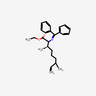 C=CC(C)CCC[C@@H](C)C(N=C(c1ccccc1)c1ccccc1)C(=O)OCC